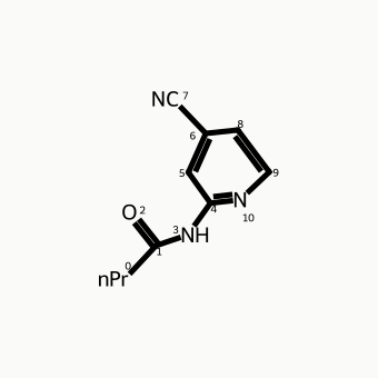 CCCC(=O)Nc1cc(C#N)ccn1